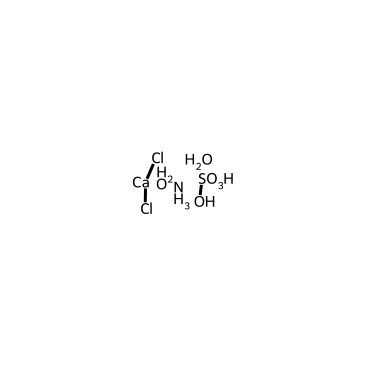 N.O.O.O=S(=O)(O)O.[Cl][Ca][Cl]